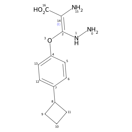 NN/C(Oc1ccc(C2CCC2)cc1)=C(\N)C(=O)O